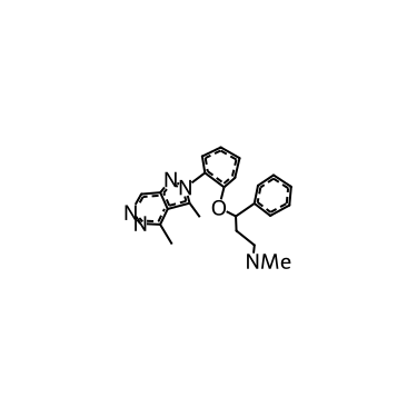 CNCCC(Oc1ccccc1-n1nc2cnnc(C)c2c1C)c1ccccc1